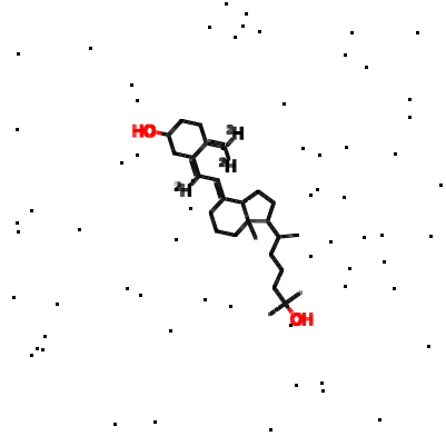 [2H]C([2H])=C1CCC(O)CC1=C([2H])C=C1CCCC2(C)C1CCC2C(C)CCCC(C)(C)O